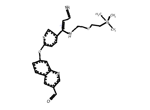 C[Si](C)(C)CCOCN/C(=C\C=N)c1ccc(Oc2ccc3cc(C=O)cnc3c2)nc1